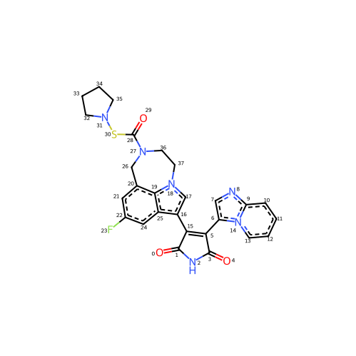 O=C1NC(=O)C(c2cnc3ccccn23)=C1c1cn2c3c(cc(F)cc13)CN(C(=O)SN1CCCC1)CC2